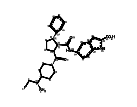 N[C@H](CF)[C@H]1CC[C@H](C(=O)N2CC[C@H](c3ccccc3)[C@H]2C(=O)Nc2ccc3[nH]c(C(=O)O)cc3c2)CC1